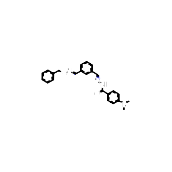 CN(C)c1ccc(C(=O)N/N=C/c2cccc(/C=N/OCc3ccccc3)c2)cc1